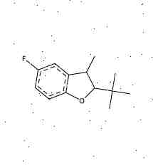 CC1c2cc(F)ccc2OC1C(C)(C)C